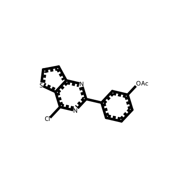 CC(=O)Oc1cccc(-c2nc(Cl)c3sccc3n2)c1